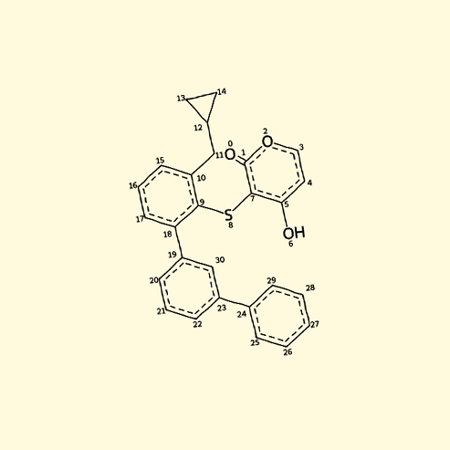 O=c1occc(O)c1Sc1c(CC2CC2)cccc1-c1cccc(-c2ccccc2)c1